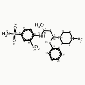 CC(=O)N1CCN([C@H](C[C@@H](C)Nc2ccc(S(N)(=O)=O)cc2[N+](=O)[O-])Sc2ccccc2)CC1